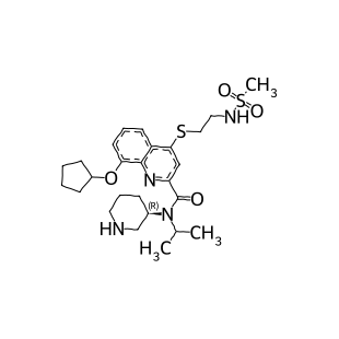 CC(C)N(C(=O)c1cc(SCCNS(C)(=O)=O)c2cccc(OC3CCCC3)c2n1)[C@@H]1CCCNC1